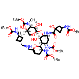 CN(C(=O)OC(C)(C)C)[C@@H]1[C@@H](O)[C@@H](O[C@@H]2[C@@H](O)[C@H](C3OC(CNC[C@H]4C[C@H](NC(=O)OC(C)(C)C)C4)=CC[C@H]3NC(=O)OC(C)(C)C)[C@@H](NC(=O)OC(C)(C)C)C[C@H]2NC(=O)C2(O)CC(NC(=O)OC(C)(C)C)C2)OC[C@]1(C)O